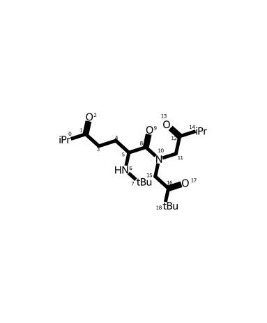 CC(C)C(=O)CCC(NC(C)(C)C)C(=O)N(CC(=O)C(C)C)CC(=O)C(C)(C)C